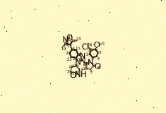 COc1ccc(N2C(=O)CC[C@H]2c2nc3cc(-c4c(C)noc4C)ccc3n2C2CCONC2)cc1Cl